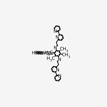 Br.Br.Br.Br.Cc1c(C)c(N=CCc2cccc(-c3ccccn3)n2)c(C)c(C)c1N=CCc1cccc(-c2ccccn2)n1.[Co].[Co]